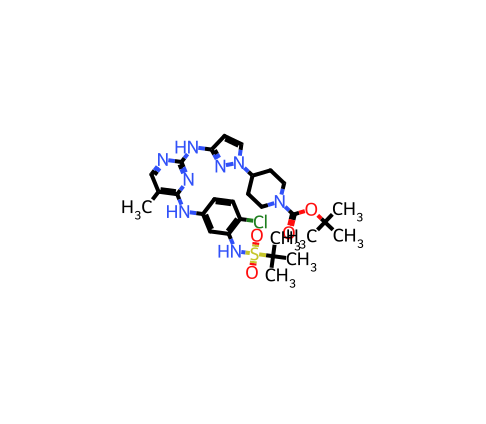 Cc1cnc(Nc2ccn(C3CCN(C(=O)OC(C)(C)C)CC3)n2)nc1Nc1ccc(Cl)c(NS(=O)(=O)C(C)(C)C)c1